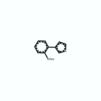 CCCCCCc1ccccc1-c1ccsc1